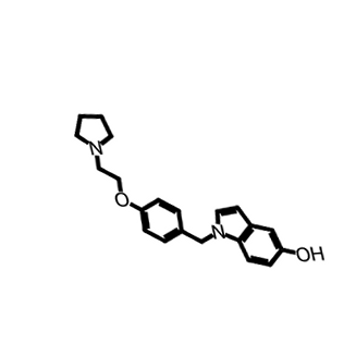 Oc1ccc2c(ccn2Cc2ccc(OCCN3CCCC3)cc2)c1